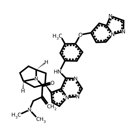 C=C(CN(C)C)C(=O)N1[C@@H]2CC[C@H]1C[C@@H](c1ccn3ncnc(Nc4ccc(Oc5ccn6ncnc6c5)c(C)c4)c13)C2